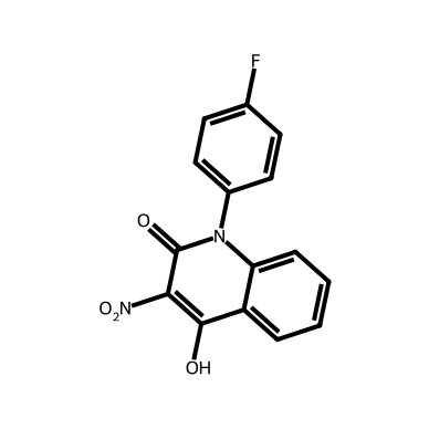 O=c1c([N+](=O)[O-])c(O)c2ccccc2n1-c1ccc(F)cc1